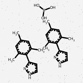 Cc1cc(C)c(-c2cc[nH]n2)c(C)c1.Cc1cc(C)c(-c2cc[nH]n2)c(C)c1.OB(O)O